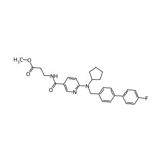 COC(=O)CCNC(=O)c1ccc(N(Cc2ccc(-c3ccc(F)cc3)cc2)C2CCCC2)nc1